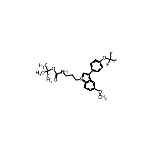 COc1ccc2c(c1)c(-c1ccc(OC(F)(F)F)cc1)cn2CCCNC(=O)OC(C)(C)C